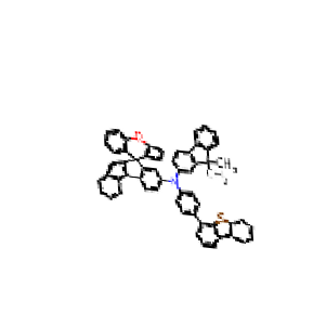 CC1(C)c2ccccc2-c2ccc(N(c3ccc(-c4cccc5c4sc4ccccc45)cc3)c3ccc4c(c3)C3(c5ccccc5Oc5ccccc53)c3ccc5ccccc5c3-4)cc21